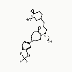 O=C1CCN(c2cccc(OC(F)(F)F)c2)CCN1[C@@H](CO)CCCN1CCC2(CC2)[C@H](O)C1